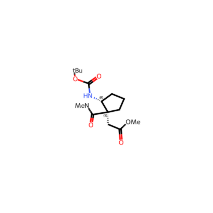 CNC(=O)[C@]1(CC(=O)OC)CCC[C@H]1NC(=O)OC(C)(C)C